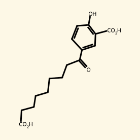 O=C(O)CCCCCCCC(=O)c1ccc(O)c(C(=O)O)c1